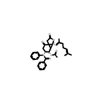 CC(=O)O[C@H]1C2C3(CC(=O)O[C@@]23/C=C(\C)CCC=C(C)C)C(=O)C[C@H]1N(C(=O)c1ccccc1)c1ccccc1